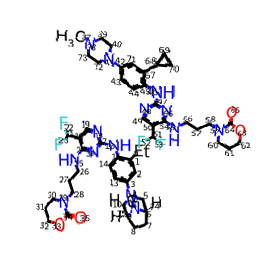 CCc1cc(N2C[C@H]3CC[C@@H](C2)N3C)ccc1Nc1ncc(C(F)F)c(NCCCN2CCCOC2=O)n1.CN1CCN(c2ccc(Nc3ncc(C(F)F)c(NCCCN4CCCOC4=O)n3)c(C3CC3)c2)CC1